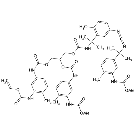 C=COC(=O)Nc1cc(NC(=O)OCC(COC(=O)NC(C)(C)c2cc(N=C=NC(C)(C)c3ccc(C)c(NC(=O)OC)c3)ccc2C)OC(=O)Nc2ccc(C)c(NC(=O)OC)c2)ccc1C